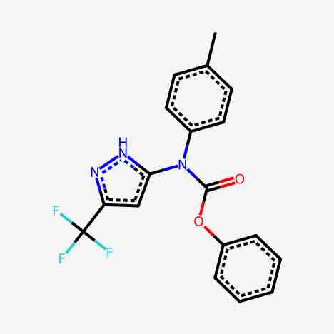 Cc1ccc(N(C(=O)Oc2ccccc2)c2cc(C(F)(F)F)n[nH]2)cc1